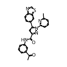 CC(=O)c1cccc(NC(=O)c2cc(-c3ccc4ncsc4c3)n(-c3cccc(C)n3)n2)c1